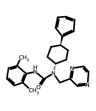 Cc1cccc(C)c1NC(=O)N(Cc1cnccn1)[C@H]1CC[C@H](c2ccccc2)CC1